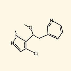 COC(Cc1cccnc1)c1c(Cl)cnn1C